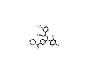 Cc1cc(C(CC(c2ccc(C(=O)N3CCOCC3)cc2)c2ccc(F)cc2F)=NO)ccn1